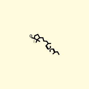 CC/C(C)=C/S(C)(C)/C=C\C(C)CCCC1CC[C@](C)(C=O)C1(C)C